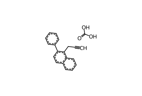 C#CCc1c(-c2ccccc2)ccc2ccccc12.O=C(O)O